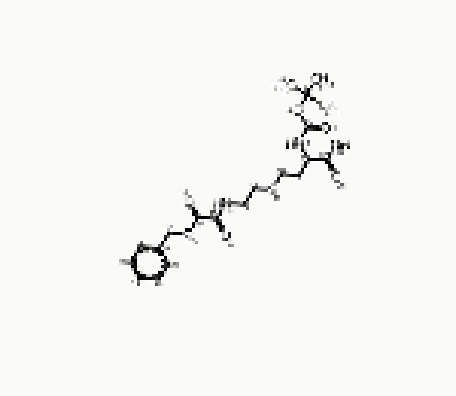 CC(C)(C)OC(=O)NC(CCSCCNC(=O)C(=O)OCc1ccccc1)C(=O)O